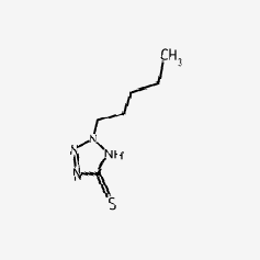 CCCCCn1nnc(=S)[nH]1